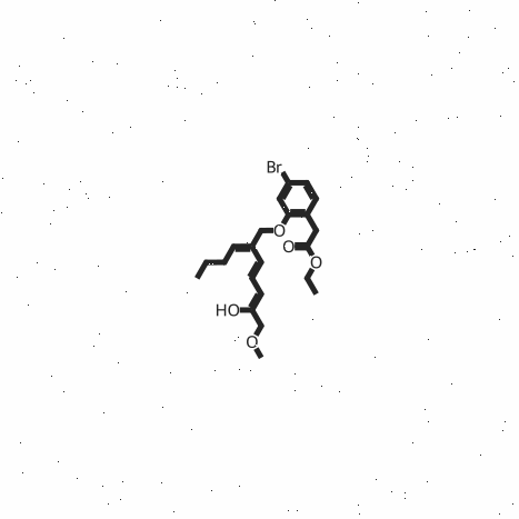 CCC\C=C(/C=C/C=C(\O)COC)COc1cc(Br)ccc1CC(=O)OCC